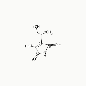 CC(CC#N)C1=C(O)C(=O)NC1=O